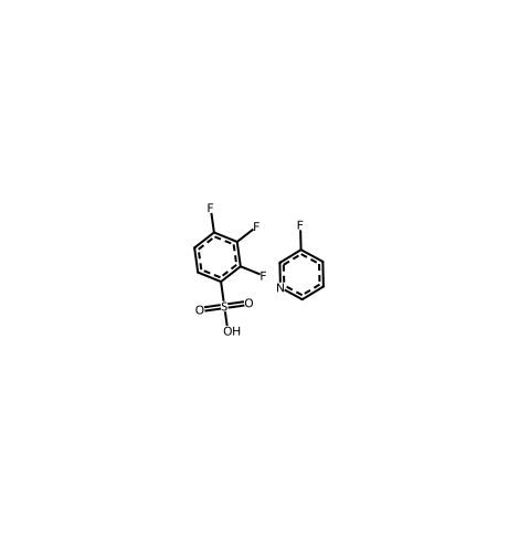 Fc1cccnc1.O=S(=O)(O)c1ccc(F)c(F)c1F